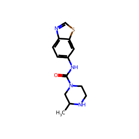 CC1CN(C(=O)Nc2ccc3ncsc3c2)CCN1